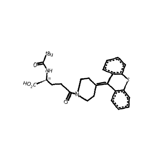 CC(C)(C)C(=O)N[C@@H](CCC(=O)N1CCC(=C2c3ccccc3Sc3ccccc32)CC1)C(=O)O